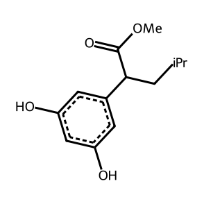 COC(=O)C(CC(C)C)c1cc(O)cc(O)c1